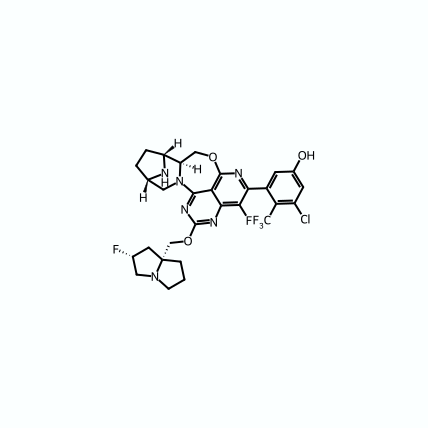 Oc1cc(Cl)c(C(F)(F)F)c(-c2nc3c4c(nc(OC[C@]56CCCN5C[C@H](F)C6)nc4c2F)N2C[C@@H]4CC[C@@H](N4)[C@H]2CO3)c1